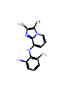 Cc1cccc(N)c1Nc1cccn2c(C)c(C)nc12